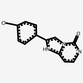 O=c1nccc2[nH]c(-c3ccc(Cl)cc3)cn12